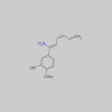 C=C/C=C\C=C(/N)c1ccc(OC)c(N=O)c1